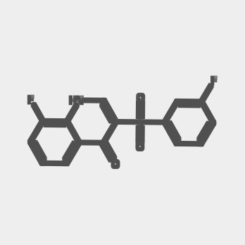 O=c1c(S(=O)(=O)c2cccc(F)c2)c[nH]c2c(F)cccc12